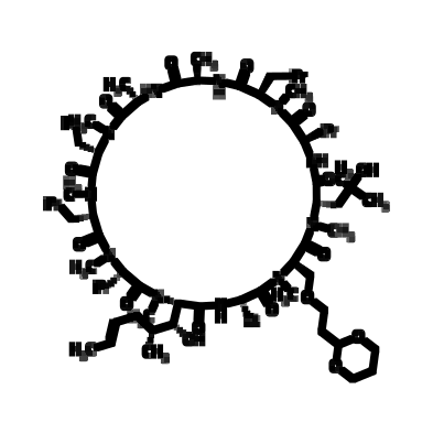 C/C=C/C[C@@H](C)[C@@H](O)[C@H]1C(=O)N[C@@H](CC)C(=O)N(C)[C@H](COCCC2OCCCO2)C(=O)N(C)[C@@H](CC(C)(C)O)C(=O)N[C@H](C(C)C)C(=O)N(C)[C@H](CC(C)C)C(=O)N[C@H](C)C(=O)N[C@@H](C)C(=O)N(C)[C@@H](CC(C)C)C(=O)N(C)[C@@H](CC(C)C)C(=O)N(C)[C@@H](C(C)C)C(=O)N1C